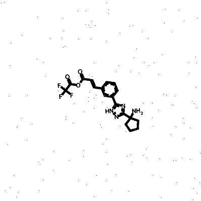 NC1(c2n[nH]c(-c3cccc(C=CC(=O)OC(=O)C(F)(F)F)c3)n2)CCCC1